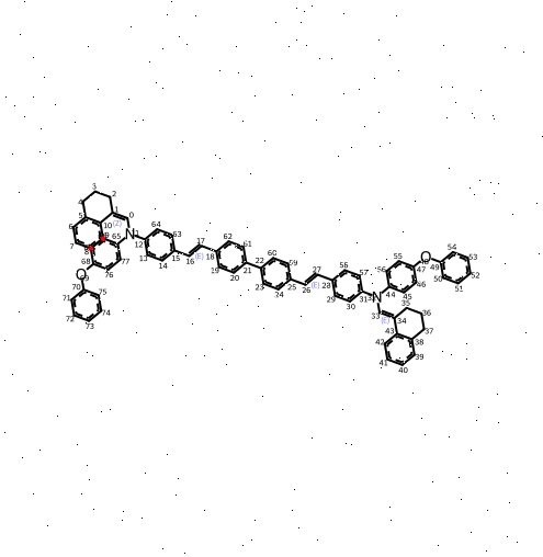 C(=C1\CCCc2ccccc21)/N(c1ccc(/C=C/c2ccc(-c3ccc(/C=C/c4ccc(N(/C=C5\CCCc6ccccc65)c5ccc(Oc6ccccc6)cc5)cc4)cc3)cc2)cc1)c1ccc(Oc2ccccc2)cc1